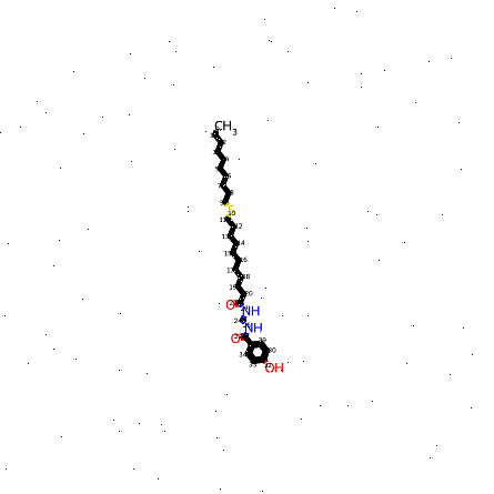 CCCCCCCCCCSCCCCCCCCCCC(=O)NCNC(=O)c1ccc(O)cc1